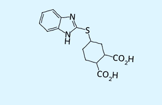 O=C(O)C1CCC(Sc2nc3ccccc3[nH]2)CC1C(=O)O